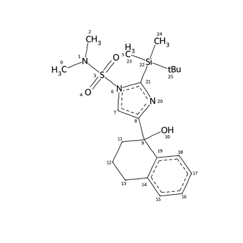 CN(C)S(=O)(=O)n1cc(C2(O)CCCc3ccccc32)nc1[Si](C)(C)C(C)(C)C